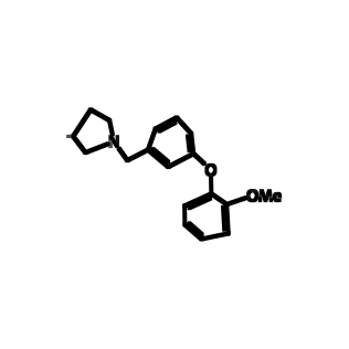 COc1ccccc1Oc1cccc(CN2C[CH]CC2)c1